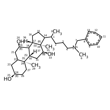 CC(CCCN(C)Cc1ccccc1)C1CC[C@H]2C3[C@H](O)CC4C[C@H](O)CC[C@]4(C)[C@H]3C[C@H](O)[C@]12C